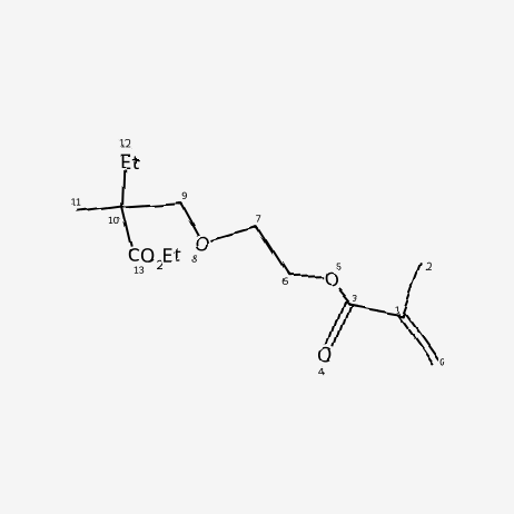 C=C(C)C(=O)OCCOCC(C)(CC)C(=O)OCC